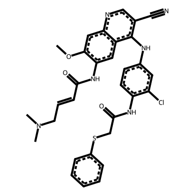 COc1cc2ncc(C#N)c(Nc3ccc(NC(=O)CSc4ccccc4)c(Cl)c3)c2cc1NC(=O)/C=C/CN(C)C